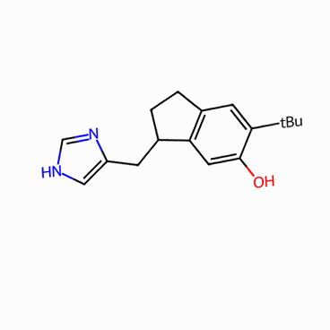 CC(C)(C)c1cc2c(cc1O)C(Cc1c[nH]cn1)CC2